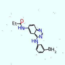 Bc1cccc(Nc2ncnc3ccc(NC(=O)CC)cc23)c1